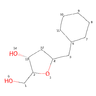 OCC1OC(CC2CCCCC2)C[C@H]1O